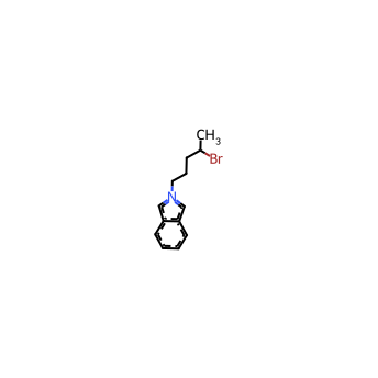 CC(Br)CCCn1cc2ccccc2c1